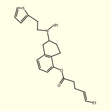 CC/C=C/CCC(=O)Oc1cccc2c1CCC(N(CCC)CCc1cccs1)C2